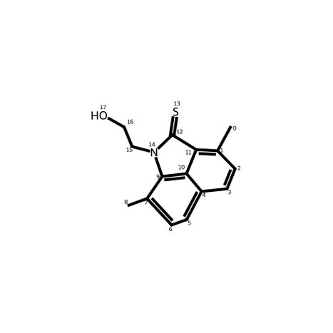 Cc1ccc2ccc(C)c3c2c1C(=S)N3CCO